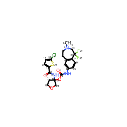 CN1CCc2cc(NC(=O)OC3(NC(=O)c4ccc(Cl)s4)CCOC3)ccc2C(F)(F)C1